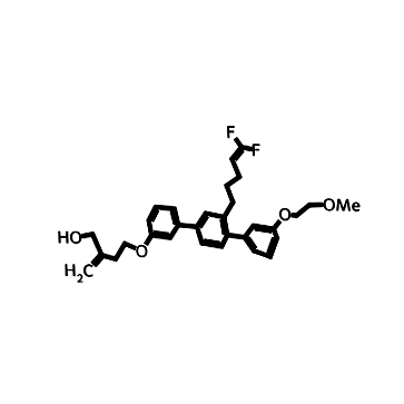 C=C(CO)CCOc1cccc(-c2ccc(-c3cccc(OCCOC)c3)c(CCCC=C(F)F)c2)c1